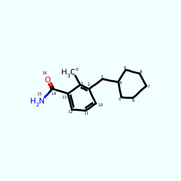 Cc1c(CC2CCCCC2)cccc1C(N)=O